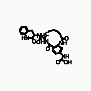 O=C(O)Nc1ccc2c(c1)NC(=O)CCCCCC(C(=O)NC1Cc3ccccc3NC1=O)NC2=O